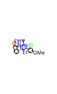 CCO[C@H]1Cc2ccccc2[C@H]1Nc1nc(CC)c(-c2ccc(OC)cc2Cl)nc1C1CC1